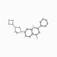 Cc1cc(-c2ccccc2)nc2cc(N3C=CN(C4CCC4)C3)ccc12